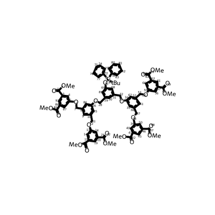 COC(=O)c1cc(OCc2cc(COc3cc(C(=O)OC)cc(C(=O)OC)c3)cc(OCc3cc(COc4cc(COc5cc(C(=O)OC)cc(C(=O)OC)c5)cc(COc5cc(C(=O)OC)cc(C(=O)OC)c5)c4)cc(O[Si](c4ccccc4)(c4ccccc4)C(C)(C)C)c3)c2)cc(C(=O)OC)c1